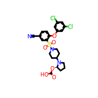 N#Cc1ccc(Oc2cc(Cl)cc(Cl)c2)c(S(=O)(=O)N2CCC(N3CCC[C@@H]3OC(=O)O)CC2)c1